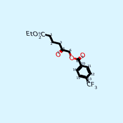 CCOC(=O)CCCC(=O)COC(=O)c1ccc(C(F)(F)F)cc1